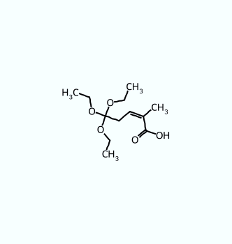 CCOC(CC=C(C)C(=O)O)(OCC)OCC